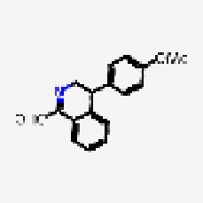 COc1ccc(C2CN=C(C=O)c3ccccc32)cc1